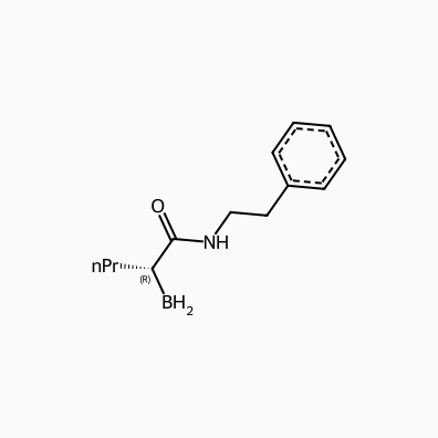 B[C@H](CCC)C(=O)NCCc1ccccc1